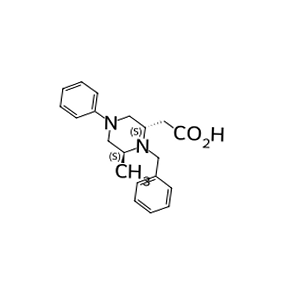 C[C@H]1CN(c2ccccc2)C[C@H](CC(=O)O)N1Cc1ccccc1